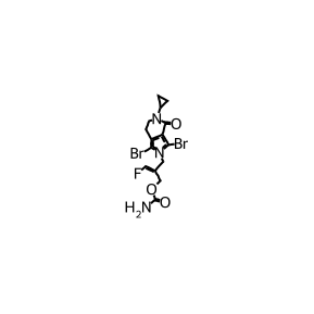 NC(=O)OCC(=CF)Cn1c(Br)c2c(c1Br)C(=O)N(C1CC1)CC2